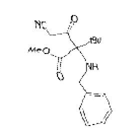 COC(=O)C(NCc1ccccc1)(C(=O)CC#N)C(C)(C)C